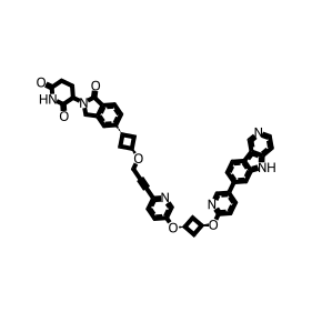 O=C1CCC(N2Cc3cc([C@H]4C[C@H](OCC#Cc5ccc(O[C@H]6C[C@H](Oc7ccc(-c8ccc9c(c8)[nH]c8ccncc89)cn7)C6)cn5)C4)ccc3C2=O)C(=O)N1